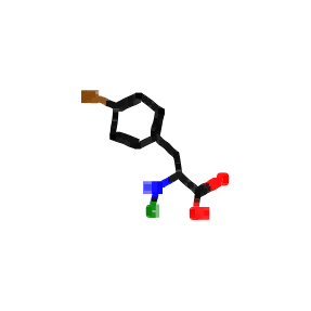 O=C(O)C(Cc1ccc(S)cc1)NCl